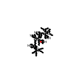 CCCCC(CCCC)c1nc(C(CCCC)CCCC)nc(C(CC)(CC)N(CCCCCCN(c2nc(N(CCCC)C3CC(C)(C)NC(C)(C)C3)nc(C(C)(CC)N(CCCCCCN(c3nc(N(CCCC)CCCC)nc(N(CCCC)CCCC)n3)C3CC(C)(C)NC(C)(C)C3)C3CC(C)(C)NC(C)(C)C3)n2)C2CC(C)(C)NC(C)(C)C2)C2CC(C)(C)NC(C)(C)C2)n1